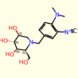 [C-]#[N+]c1cc(CN2C[C@H](O)[C@@H](O)[C@H](O)[C@@H]2CO)ccc1N(C)C